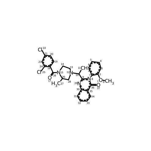 COc1ccccc1-n1c(C(C)N2CCN(C(=O)c3ccc(Cl)cc3Cl)C(C)C2)nc2ccccc2c1=O